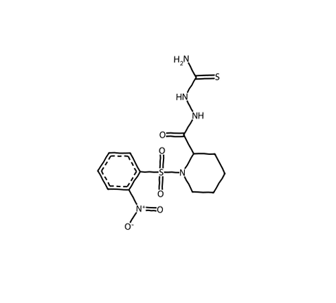 NC(=S)NNC(=O)C1CCCCN1S(=O)(=O)c1ccccc1[N+](=O)[O-]